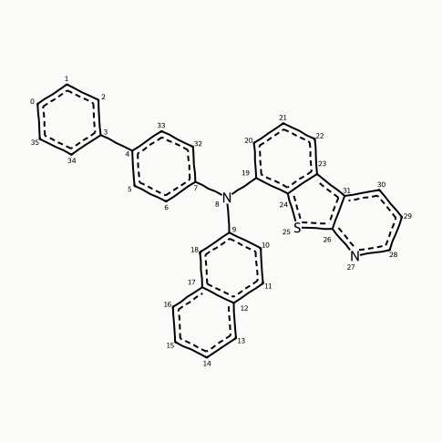 c1ccc(-c2ccc(N(c3ccc4ccccc4c3)c3cccc4c3sc3ncccc34)cc2)cc1